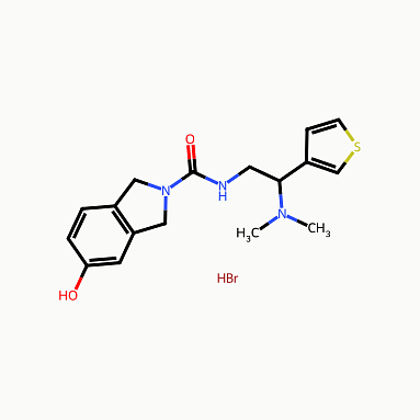 Br.CN(C)C(CNC(=O)N1Cc2ccc(O)cc2C1)c1ccsc1